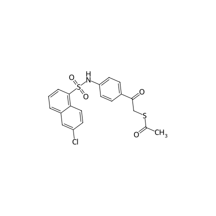 CC(=O)SCC(=O)c1ccc(NS(=O)(=O)c2cccc3cc(Cl)ccc23)cc1